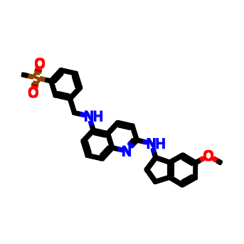 COc1ccc2c(c1)C(Nc1ccc3c(NCc4cccc(S(C)(=O)=O)c4)cccc3n1)CC2